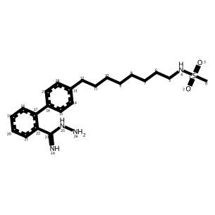 CS(=O)(=O)NCCCCCCCCc1ccc(-c2ccccc2C(=N)NN)cc1